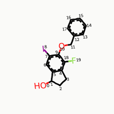 OC1CCc2c1cc(I)c(OCc1ccccc1)c2F